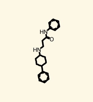 O=C(CCNC1CCC(c2ccccc2)CC1)Nc1ccccc1